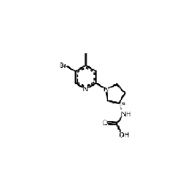 Cc1cc(N2CC[C@H](NC(=O)O)C2)ncc1Br